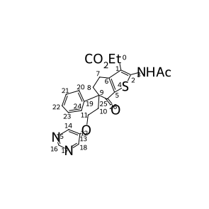 CCOC(=O)c1c(NC(C)=O)sc2c1CCC(CCOc1cncnc1)(c1ccccc1)C2=O